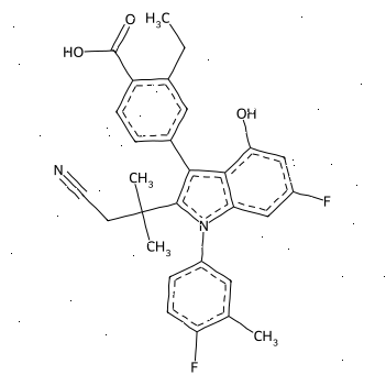 CCc1cc(-c2c(C(C)(C)CC#N)n(-c3ccc(F)c(C)c3)c3cc(F)cc(O)c23)ccc1C(=O)O